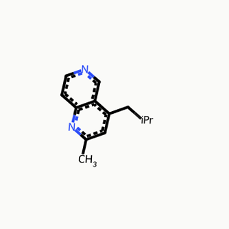 Cc1cc(CC(C)C)c2cnccc2n1